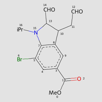 COC(=O)c1cc(Br)c2c(c1)C(CC=O)C(C=O)N2C(C)C